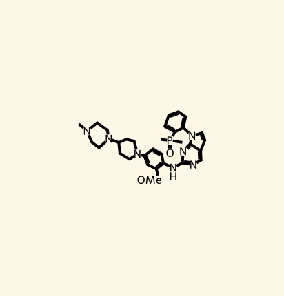 COc1cc(N2CCC(N3CCN(C)CC3)CC2)ccc1Nc1ncc2ccn(-c3ccccc3P(C)(C)=O)c2n1